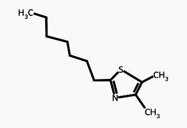 CCCCCCCc1nc(C)c(C)s1